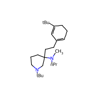 CCCN(C)C1(CCC2=CCCC(C(C)(C)C)=C2)CCCN(C(C)(C)C)C1